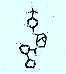 O=C(c1ncccc1-c1ccccn1)N1CC2C3CC(Oc4ccc(C(F)(F)F)cn4)C1C32